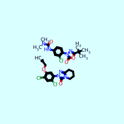 C#CCOc1cc(-n2nc3n(c2=O)CCCC3)c(Cl)cc1Cl.CN(C)C(=O)Nc1ccc(-n2nc(C(C)(C)C)oc2=O)c(Cl)c1